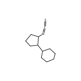 S=C=NC1CCCC1C1CCCCC1